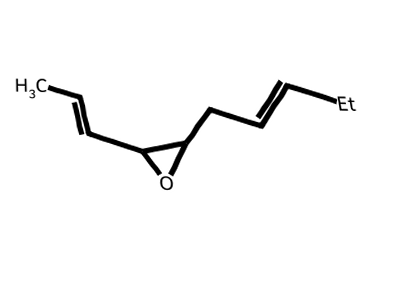 CC=CC1OC1CC=CCC